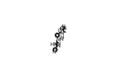 CC(NC(=O)c1cccc(NCc2nnc(-c3ccncc3)[nH]2)c1)c1ncn(C)n1